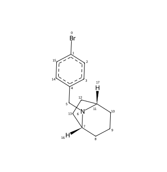 Brc1ccc(CN2[C@@H]3CCC[C@H]2CC3)cc1